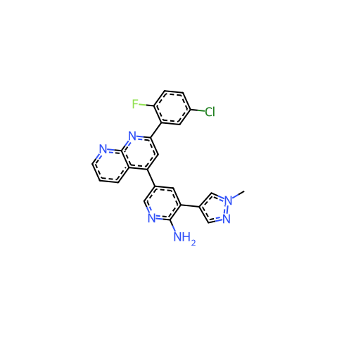 Cn1cc(-c2cc(-c3cc(-c4cc(Cl)ccc4F)nc4ncccc34)cnc2N)cn1